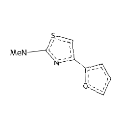 CNc1nc(-c2ccco2)cs1